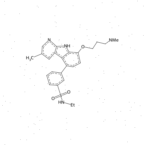 CCNS(=O)(=O)c1cccc(-c2ccc(OCCCNC)c3[nH]c4ncc(C)cc4c23)c1